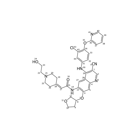 N#Cc1cnc2cc(OC3CCOC3)c(NC(=O)C=C3CCN(CCO)CC3)cc2c1Nc1ccc(Oc2ccccn2)c(Cl)c1